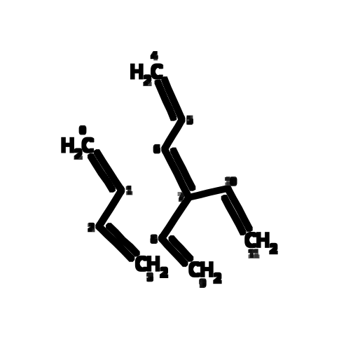 C=CC=C.C=CC=C(C=C)C=C